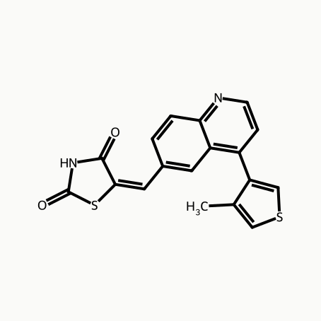 Cc1cscc1-c1ccnc2ccc(C=C3SC(=O)NC3=O)cc12